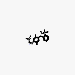 CCN(C)/C=N\c1cc(C)c(Cc2ccccc2S(C)(=O)=NC)cc1C